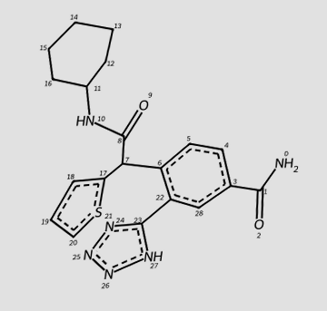 NC(=O)c1ccc(C(C(=O)NC2CCCCC2)c2cccs2)c(-c2nnn[nH]2)c1